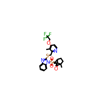 Cc1c(OCC(F)(F)F)ccnc1CSc1nc2ccccc2n1S(=O)(=O)C1C(=O)C2(C)CCC1C2(C)C